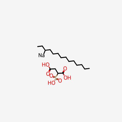 CCCCCCCCCCC[CH]([Na])CC.O=C(O)CC(C(=O)O)S(=O)(=O)O